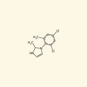 Cc1cc(Cl)cc(Cl)c1N1C=CNC1C